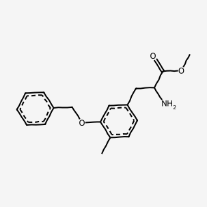 COC(=O)C(N)Cc1ccc(C)c(OCc2ccccc2)c1